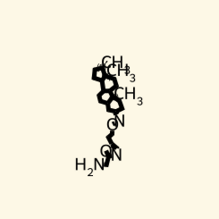 C[C@H]1CCC2C3CCC4CC(=NOCCc5cnc(CN)o5)CC[C@]4(C)C3CC[C@@]21C